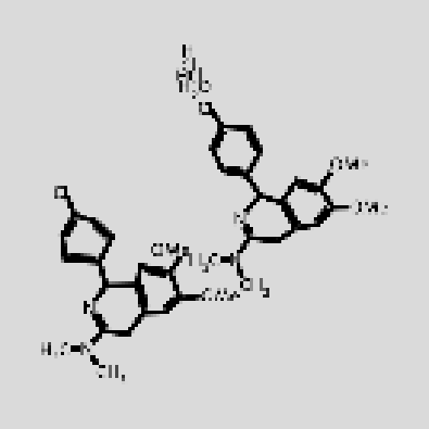 COc1cc2c(cc1OC)C(c1ccc(Cl)cc1)N=C(N(C)C)C2.COc1cc2c(cc1OC)C(c1ccc(Cl)cc1)N=C(N(C)C)C2.Cl.Cl.O